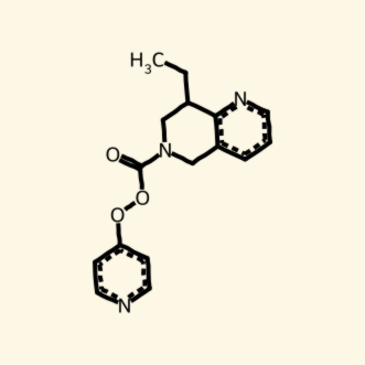 CCC1CN(C(=O)OOc2ccncc2)Cc2cccnc21